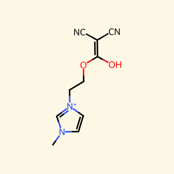 Cn1cc[n+](CCOC(O)=C(C#N)C#N)c1